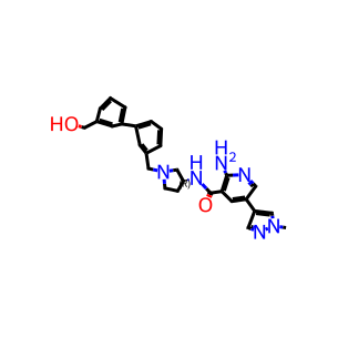 Cn1cc(-c2cnc(N)c(C(=O)N[C@@H]3CCN(Cc4cccc(-c5cccc(CO)c5)c4)C3)c2)cn1